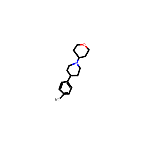 N#Cc1ccc(C2CCN(C3CCOCC3)CC2)cc1